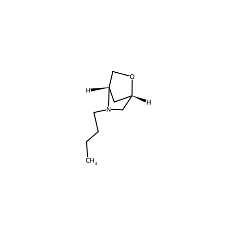 CCCCN1C[C@@H]2C[C@H]1CO2